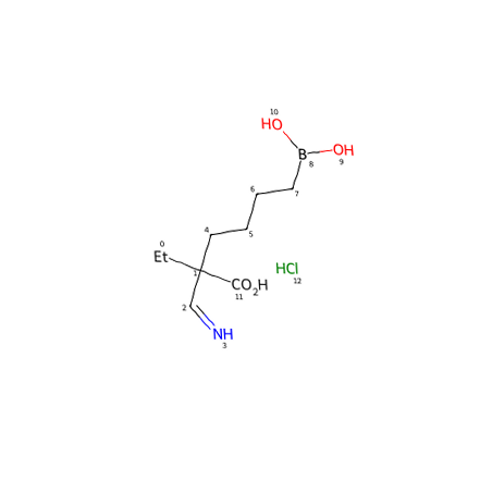 CCC(C=N)(CCCCB(O)O)C(=O)O.Cl